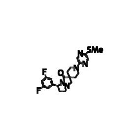 CSc1cnc(N2CCC3(CC2)CN2CC[C@@H](c4cc(F)cc(F)c4)N2C3=O)cn1